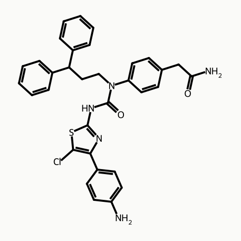 NC(=O)Cc1ccc(N(CCC(c2ccccc2)c2ccccc2)C(=O)Nc2nc(-c3ccc(N)cc3)c(Cl)s2)cc1